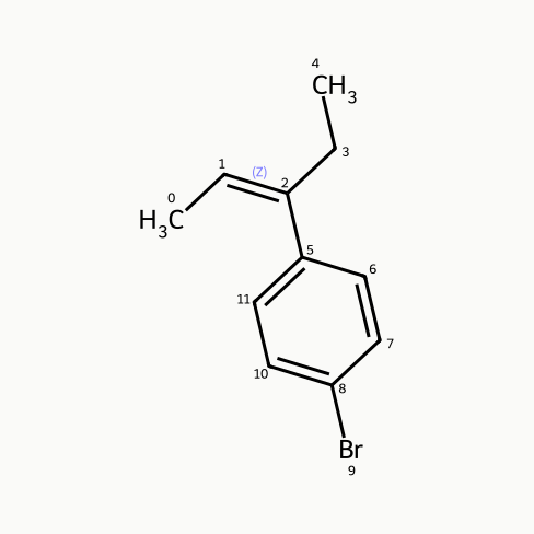 C/C=C(/CC)c1ccc(Br)cc1